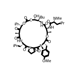 CC[C@H](C)[C@H]1NC(=O)[C@@H](NC(=O)[C@@H](CC(C)C)NC)[C@@H](C)OC(=O)[C@H](Cc2ccc(OC)cc2)N(C)C(=O)[C@@H]2CCCN2C(=O)[C@H](CC(C)C)NC(=O)[C@@H](C)C(=O)[C@H](C(C)C)OC(=O)C[C@@H]1O